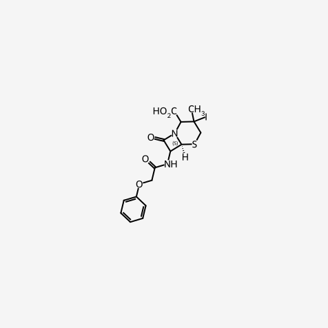 CC1(I)CS[C@H]2C(NC(=O)COc3ccccc3)C(=O)N2C1C(=O)O